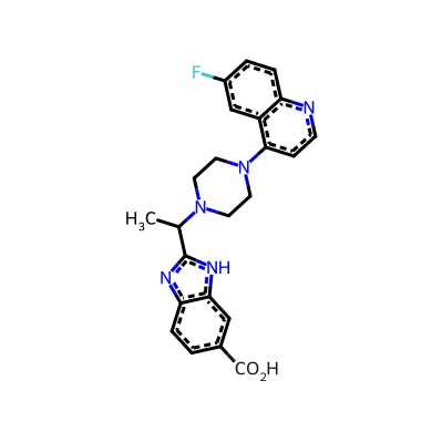 CC(c1nc2ccc(C(=O)O)cc2[nH]1)N1CCN(c2ccnc3ccc(F)cc23)CC1